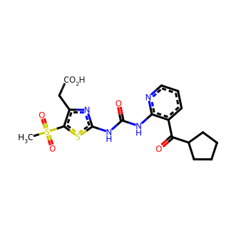 CS(=O)(=O)c1sc(NC(=O)Nc2ncccc2C(=O)C2CCCC2)nc1CC(=O)O